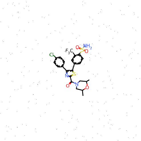 CC1CN(C(=O)c2nc(-c3ccc(Cl)cc3)c(-c3ccc(S(N)(=O)=O)c(C(F)(F)F)c3)s2)CC(C)O1